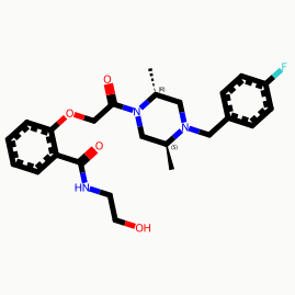 C[C@@H]1CN(Cc2ccc(F)cc2)[C@@H](C)CN1C(=O)COc1ccccc1C(=O)NCCO